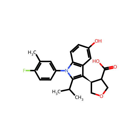 Cc1cc(-n2c(C(C)C)c([C@@H]3COCC3C(=O)O)c3cc(O)ccc32)ccc1F